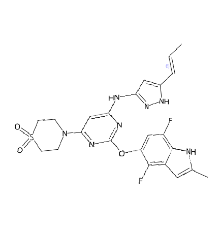 C/C=C/c1cc(Nc2cc(N3CCS(=O)(=O)CC3)nc(Oc3cc(F)c4[nH]c(C)cc4c3F)n2)n[nH]1